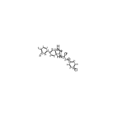 Cc1ccc(-c2ccc3c(NC(=O)COc4ccc(Cl)cc4)n[nH]c3c2)cc1C